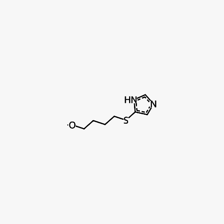 [O]CCCCSc1cnc[nH]1